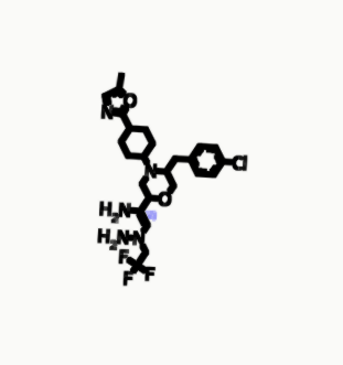 Cc1cnc(C2CCC(N3CC(/C(N)=C/N(N)CC(F)(F)F)OCC3Cc3ccc(Cl)cc3)CC2)o1